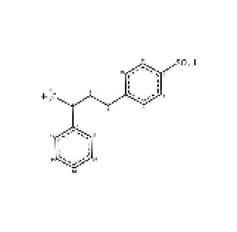 [CH2]C(CCc1ccc(S(=O)(=O)O)cc1)c1ccccc1